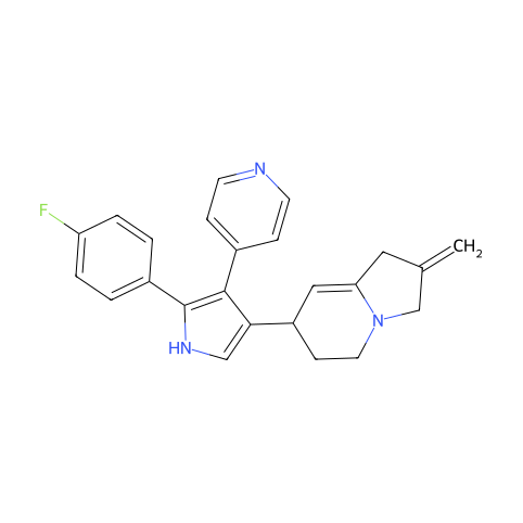 C=C1CC2=CC(c3c[nH]c(-c4ccc(F)cc4)c3-c3ccncc3)CCN2C1